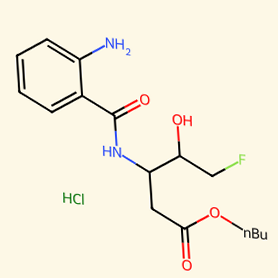 CCCCOC(=O)CC(NC(=O)c1ccccc1N)C(O)CF.Cl